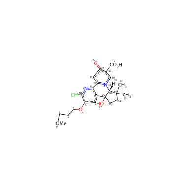 COCCCOc1cc2c(nc1Cl)-c1cc(=O)c(C(=O)O)cn1[C@@H]1C(C)(C)CCC21O